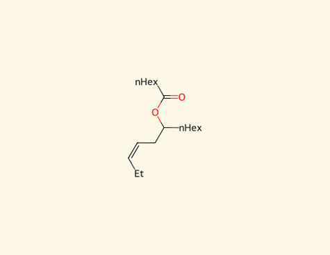 CC/C=C\CC(CCCCCC)OC(=O)CCCCCC